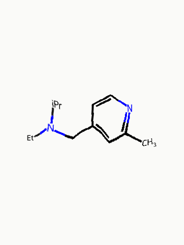 CCN(Cc1ccnc(C)c1)C(C)C